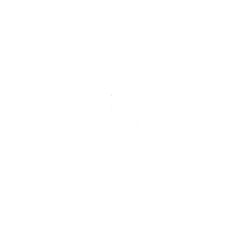 OC12CC(F)(F)C(F)(F)C(F)(C1(F)F)C(F)(F)C(F)(CF)C2